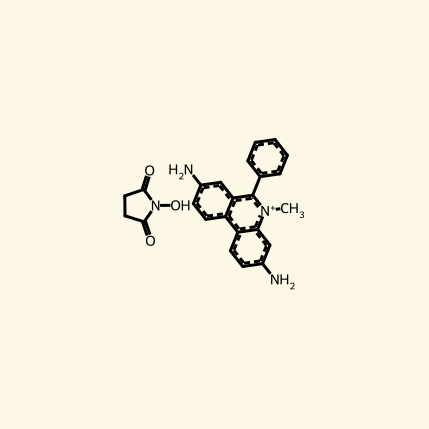 C[n+]1c(-c2ccccc2)c2cc(N)ccc2c2ccc(N)cc21.O=C1CCC(=O)N1O